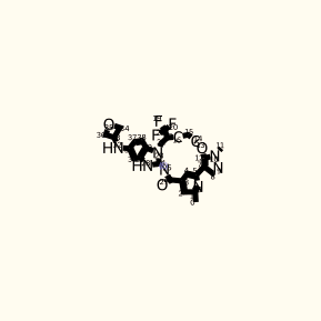 Cc1cc2cc(n1)-c1cnn(C)c1OCCCC(C(F)(F)F)CN1/C(=N/C2=O)Nc2cc(NC3COC3)ccc21